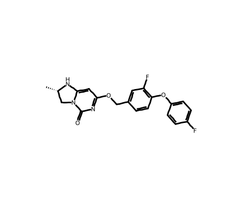 C[C@H]1Cn2c(cc(OCc3ccc(Oc4ccc(F)cc4)c(F)c3)nc2=O)N1